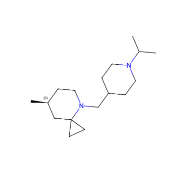 CC(C)N1CCC(CN2CC[C@H](C)CC23CC3)CC1